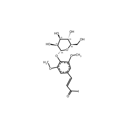 COc1cc(C=CC(=O)I)cc(OC)c1O[C@H]1O[C@H](CO)[C@@H](O)[C@H](O)[C@@H]1O